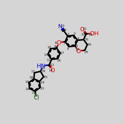 N#Cc1cc2c(cc1Oc1ccc(C(=O)NC3Cc4ccc(Cl)cc4C3)cc1)OCCC2C(=O)O